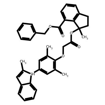 CC1=Cc2ccccc2[SH]1c1cc(C)c(OCC(=O)OC2(C)CCc3cccc(C(=O)OCc4ccccc4)c32)c(C)c1